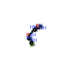 O=C1Nc2cc(/C=C/CNC(=O)c3nccc(Nc4ccc(F)c(F)c4)n3)ccc2C1=Cc1cnc[nH]1